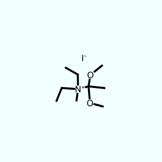 CC[N+](C)(CC)C(C)(OC)OC.[I-]